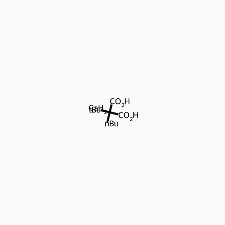 CCCCC(C(=O)O)(C(=O)O)C(C)(C)C.[CaH2]